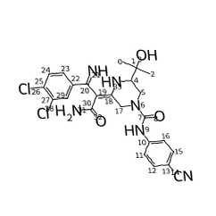 CC(C)(O)C1CN(C(=O)Nc2ccc(C#N)cc2)C/C(=C(/C(=N)c2ccc(Cl)c(Cl)c2)C(N)=O)N1